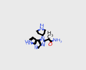 CC(C(N)=O)c1nc2cnc3[nH]ccc3c2n1C1CCNCC1